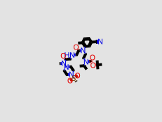 Cc1ccc(C#N)cc1N(CCN(C(=O)OC(C)(C)C)C(C)C)C(=O)CNCC(=O)N(C)N1CCN(S(C)(=O)=O)CC1